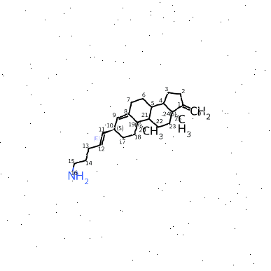 C=C1CCC2C3CCC4=C[C@H](/C=C/CCCN)CC[C@]4(C)C3CC[C@]12C